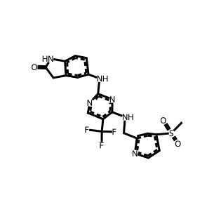 CS(=O)(=O)c1ccnc(CNc2nc(Nc3ccc4c(c3)CC(=O)N4)ncc2C(F)(F)F)c1